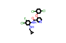 O=C(Nc1cc(F)c(Cl)cc1NCC1CC1)c1cnccc1Oc1cc(Cl)ccc1Cl